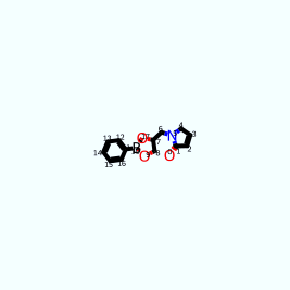 O=C1C=CCN1CC1COB(c2ccccc2)O1